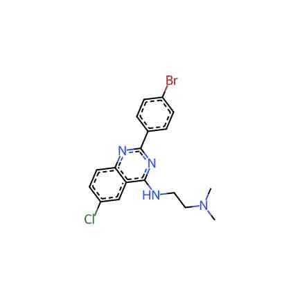 CN(C)CCNc1nc(-c2ccc(Br)cc2)nc2ccc(Cl)cc12